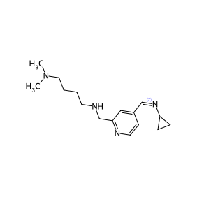 CN(C)CCCCNCc1cc(/C=N\C2CC2)ccn1